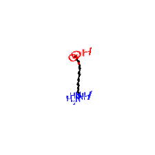 N=C(N)NCCCCCCCCCCCCCCCCCC(=O)O